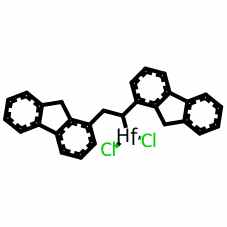 [Cl][Hf]([Cl])[CH](Cc1cccc2c1Cc1ccccc1-2)c1cccc2c1Cc1ccccc1-2